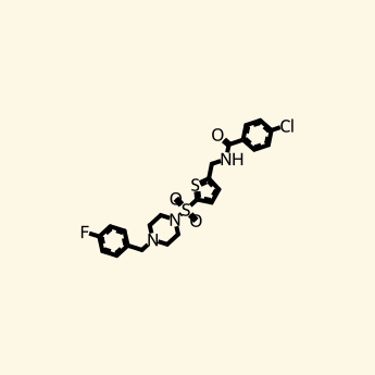 O=C(NCc1ccc(S(=O)(=O)N2CCN(Cc3ccc(F)cc3)CC2)s1)c1ccc(Cl)cc1